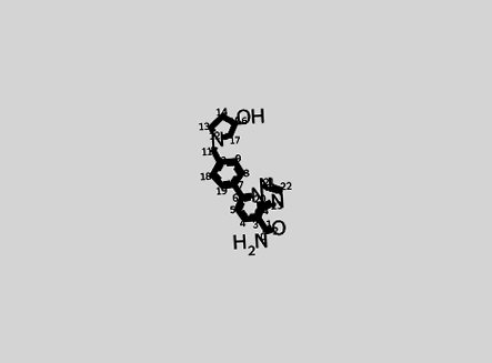 NC(=O)c1ccc(-c2ccc(CN3CC[C@@H](O)C3)cc2)n2n[c]nc12